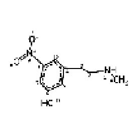 CNCCc1cccc([N+](=O)[O-])c1.Cl